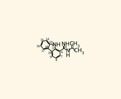 CC(C)NC(=N)c1cccc2c1[nH]c1ccccc12